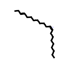 CCC=CCCCCCCC/C=C\CCCCCCCC